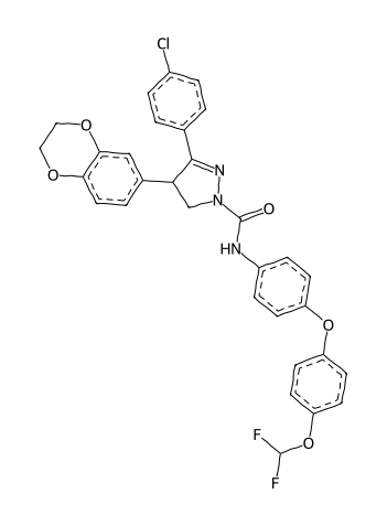 O=C(Nc1ccc(Oc2ccc(OC(F)F)cc2)cc1)N1CC(c2ccc3c(c2)OCCO3)C(c2ccc(Cl)cc2)=N1